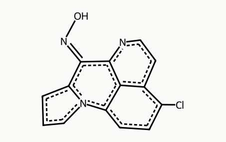 ON=c1c2nccc3c(Cl)ccc(c32)n2cccc12